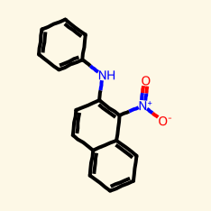 O=[N+]([O-])c1c(Nc2ccccc2)ccc2ccccc12